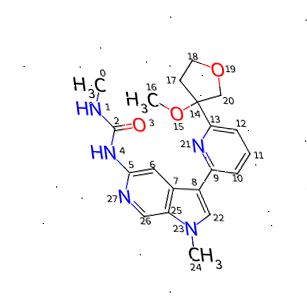 CNC(=O)Nc1cc2c(-c3cccc(C4(OC)CCOC4)n3)cn(C)c2cn1